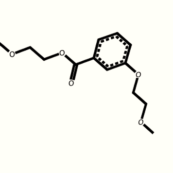 COCCOC(=O)c1cccc(OCCOC)c1